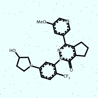 COc1cncc(-c2nn(-c3cc(N4CCC(O)C4)ccc3C(F)(F)F)c(=O)c3c2CCC3)c1